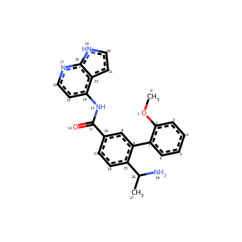 COc1ccccc1-c1cc(C(=O)Nc2ccnc3[nH]ccc23)ccc1C(C)N